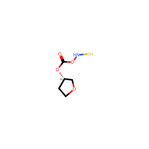 O=C(ONS)O[C@H]1CCOC1